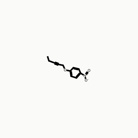 CCC#CCOc1ccc([N+](=O)[O-])cc1